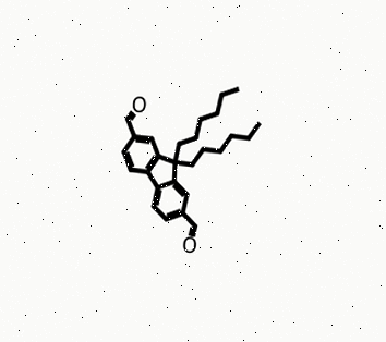 CCCCCCC1(CCCCCC)c2cc(C=O)ccc2-c2ccc(C=O)cc21